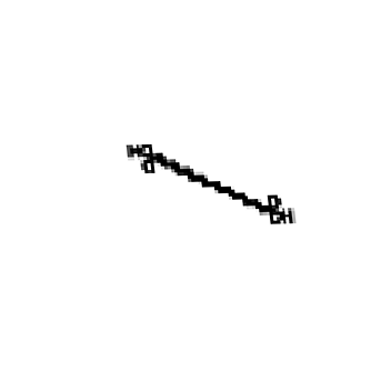 O=C(O)/C=C/C=C/C=C/C=C/CCCCCCCCC(=O)O